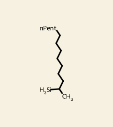 CCCCCCCCCCCCC(C)[SiH3]